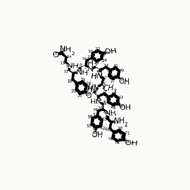 C[C@@H](CN[C@H](CN[C@H](CN[C@H](CNCCC(N)=O)Cc1ccc(O)cc1)Cc1ccc(O)cc1)Cc1ccc(O)cc1)NC[C@H](Cc1ccc(O)cc1)NC[C@H](Cc1ccc(O)cc1)NC[C@@H](N)Cc1ccc(O)cc1